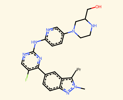 CC(C)c1c2cc(-c3nc(Nc4ccc(N5CCNC(CO)C5)cn4)ncc3F)ccc2nn1C